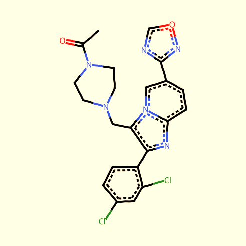 CC(=O)N1CCN(Cc2c(-c3ccc(Cl)cc3Cl)nc3ccc(-c4ncon4)cn23)CC1